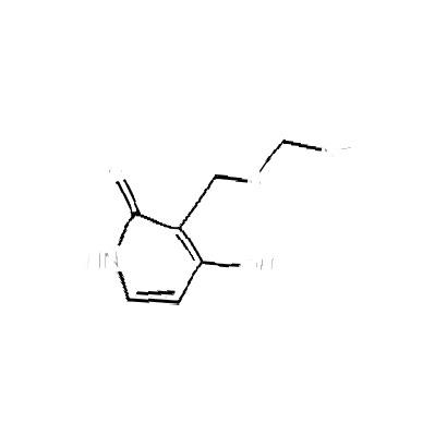 CCOCc1c(O)cc[nH]c1=O